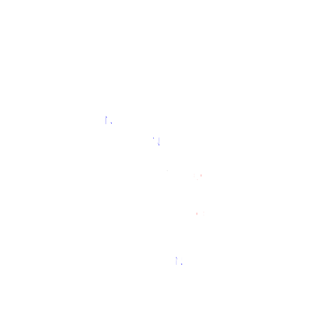 NC(=O)/C=c1/sc2n(c1=O)Cc1ccccc1N=2